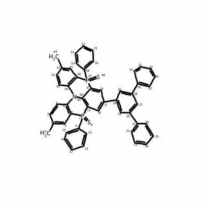 Cc1ccc2c(c1)P(=S)(c1ccccc1)c1cc(-c3cc(-c4ccccc4)cc(-c4ccccc4)c3)cc3c1N2c1ccc(C)cc1P3(=S)c1ccccc1